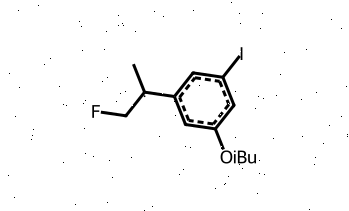 C[C](CF)c1cc(I)cc(OCC(C)C)c1